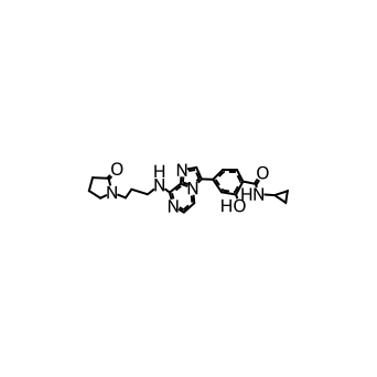 O=C(NC1CC1)c1ccc(-c2cnc3c(NCCCN4CCCC4=O)nccn23)cc1O